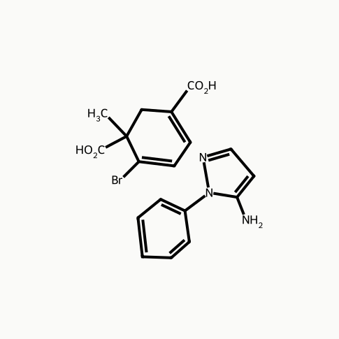 CC1(C(=O)O)CC(C(=O)O)=CC=C1Br.Nc1ccnn1-c1ccccc1